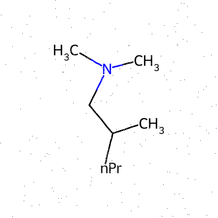 CCCC(C)CN(C)C